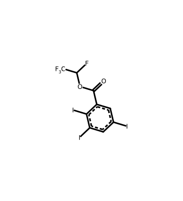 O=C(OC(F)C(F)(F)F)c1cc(I)cc(I)c1I